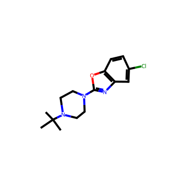 CC(C)(C)N1CCN(c2nc3cc(Cl)ccc3o2)CC1